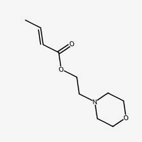 CC=CC(=O)OCCN1CCOCC1